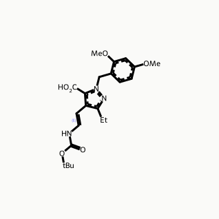 CCc1nn(Cc2ccc(OC)cc2OC)c(C(=O)O)c1/C=C/NC(=O)OC(C)(C)C